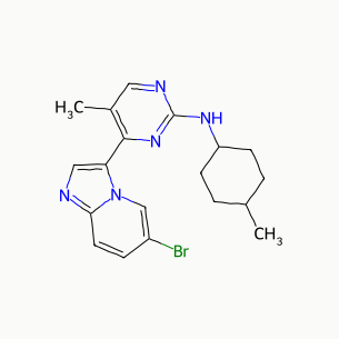 Cc1cnc(NC2CCC(C)CC2)nc1-c1cnc2ccc(Br)cn12